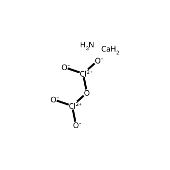 N.[CaH2].[O-][Cl+2]([O-])O[Cl+2]([O-])[O-]